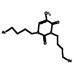 CC(=O)CCCCn1cc(C)c(=O)n(CCCCC(C)=O)c1=O